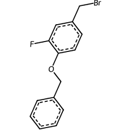 Fc1cc(CBr)ccc1OCc1ccccc1